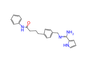 NC(=NCc1ccc(CCCC(=O)Nc2ccccc2)cc1)c1ccc[nH]1